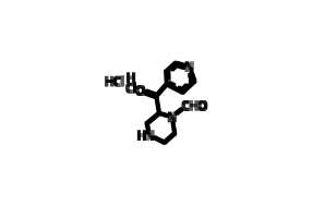 Cl.Cl.O=CN1CCNCC1C(=O)c1ccncc1